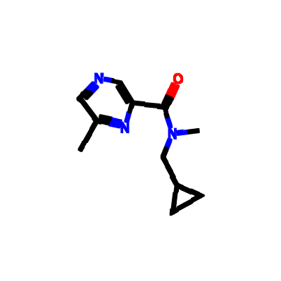 Cc1cncc(C(=O)N(C)CC2CC2)n1